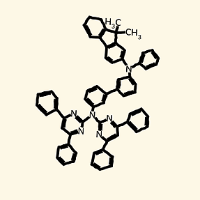 CC1(C)C2=C(C=CCC2)c2ccc(N(c3ccccc3)c3cccc(-c4cccc(N(c5nc(-c6ccccc6)cc(-c6ccccc6)n5)c5nc(-c6ccccc6)cc(-c6ccccc6)n5)c4)c3)cc21